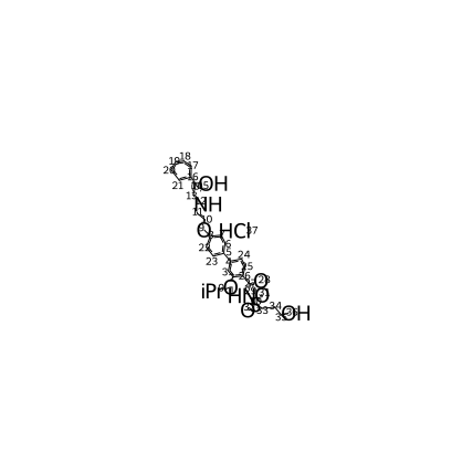 CC(C)Oc1cc(-c2ccc(OCCNC[C@@H](O)c3ccccc3)cc2)ccc1C(=O)NS(=O)(=O)CCCO.Cl